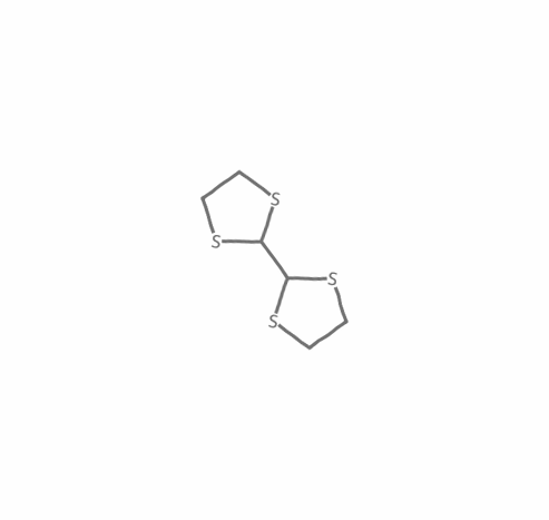 C1CSC(C2SCCS2)S1